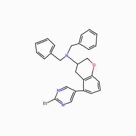 CCc1ncc(-c2cccc3c2CC(N(Cc2ccccc2)Cc2ccccc2)CO3)cn1